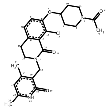 CC(=O)N1CCC(Oc2ccc3c(c2Cl)C(=O)N(Cc2c(C)cc(C)[nH]c2=O)CC3)CC1